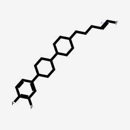 F/C=C/CCCC1CCC(C2CCC(c3ccc(F)c(F)c3)CC2)CC1